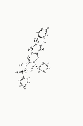 CC(C)C1C(=O)N(CC(=O)NC(Cc2ccccc2)C(O)C(F)(F)F)C(c2ccccc2)=CN1C(=O)c1ccncc1